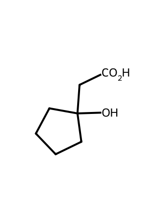 O=C(O)CC1(O)CCCC1